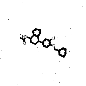 CC(=O)NC1CCC(c2ccc(OCc3ccccc3)c(Cl)c2)c2ccccc21